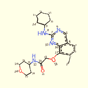 Cc1ccc2cnc(NC3CCCCC3)nc2c1OCC(=O)NC1CCOCC1